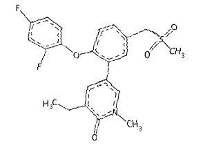 CCc1cc(-c2cc(CS(C)(=O)=O)ccc2Oc2ccc(F)cc2F)cn(C)c1=O